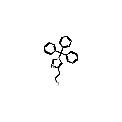 ClCCc1cn(C(c2ccccc2)(c2ccccc2)c2ccccc2)cn1